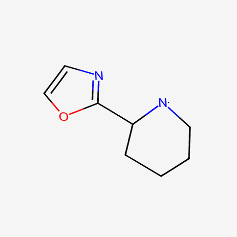 c1coc(C2CCCC[N]2)n1